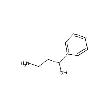 NCCC(O)c1cc[c]cc1